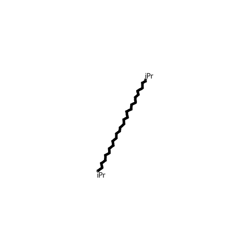 CC(C)CCCCCCCCCCCCCCCCCCCCCCCCCCC(C)C